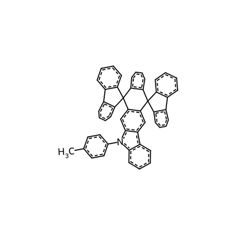 Cc1ccc(-n2c3ccccc3c3cc4c(cc32)C2(c3ccccc3-c3ccccc32)c2ccccc2C42c3ccccc3-c3ccccc32)cc1